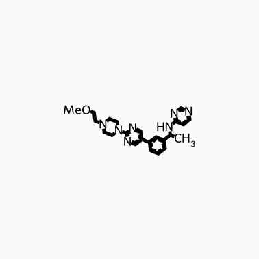 COCCN1CCN(c2ncc(-c3cccc(C(C)Nc4ccncn4)c3)cn2)CC1